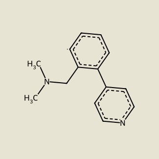 CN(C)Cc1[c]cccc1-c1ccncc1